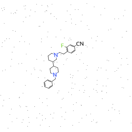 N#Cc1ccc(CCN2CCCC(C3CCN(Cc4ccccc4)CC3)C2)c(F)c1